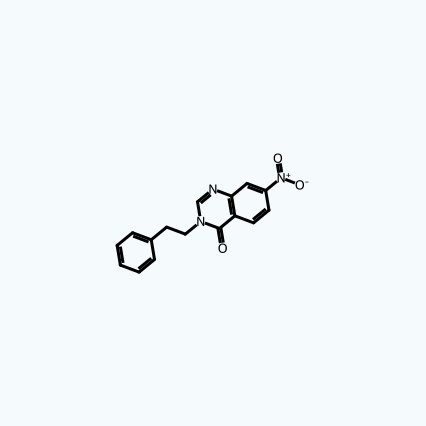 O=c1c2ccc([N+](=O)[O-])cc2ncn1CCc1ccccc1